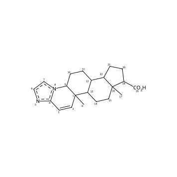 CC12C=Cc3nccn3C1CCC1C2CCC2(C)C(C(=O)O)CCC12